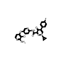 Nc1nccc(Oc2ccc(NC(=O)c3nn(C4CC4)cc(-c4ccc(F)cc4)c3=O)nc2)c1Cl